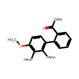 CCCCCCCCCc1c(OC(=O)O)ccc(-c2ccccc2C(=O)OC)c1CCCCCCCCC